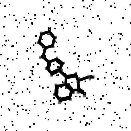 CCCCn1cc(-c2ccc(OC3CCNCC3)cc2)c2ccncc2c1=O